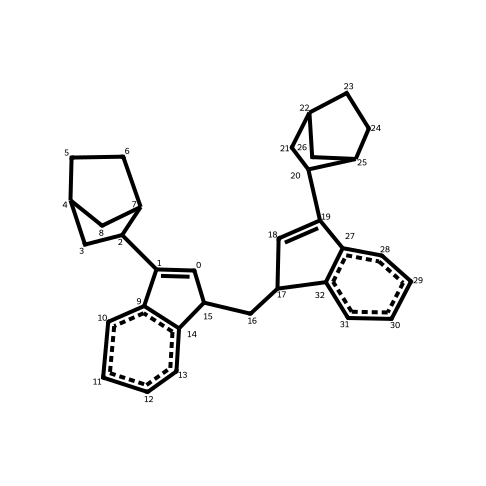 C1=C(C2CC3CCC2C3)c2ccccc2C1CC1C=C(C2CC3CCC2C3)c2ccccc21